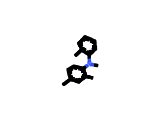 Cc1ccc(N(C)c2ccccc2C)c(C)c1